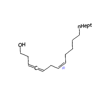 CCCCCCCCCCC/C=C\CC=C=CCCO